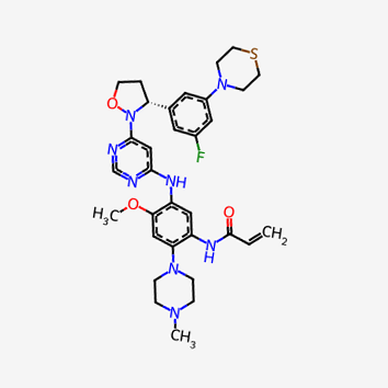 C=CC(=O)Nc1cc(Nc2cc(N3OCC[C@@H]3c3cc(F)cc(N4CCSCC4)c3)ncn2)c(OC)cc1N1CCN(C)CC1